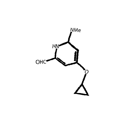 CNC1C=C(OC2CC2)C=C(C=O)N1